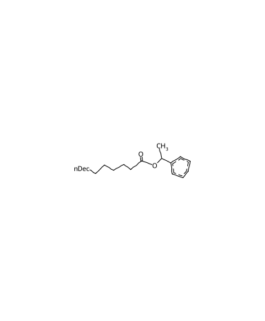 CCCCCCCCCCCCCCCC(=O)OC(C)c1ccccc1